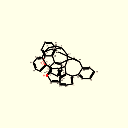 Oc1ccc2c3c1oc1cccc(c13)C1CCC3CCC4CC2(C1)C(c1ccccc1-c1ccccc13)c1ccccc1-c1ccccc14